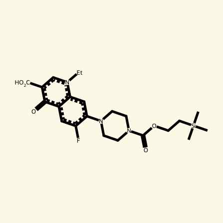 CCn1cc(C(=O)O)c(=O)c2cc(F)c(N3CCN(C(=O)OCC[Si](C)(C)C)CC3)cc21